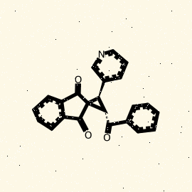 O=C(c1ccccc1)[C@H]1[C@H](c2cccnc2)C12C(=O)c1ccccc1C2=O